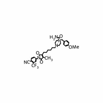 COc1ccc(C[N+]2(C(N)=O)CCN(CCCCCCC3=C(C)C(=O)N(c4ccc(C#N)c(C(F)(F)F)c4)C3=O)CC2)cc1